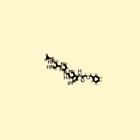 CC(C)n1cc(NC(=O)COCc2ccccc2)c2cnc(Nc3ccnc(/C(C=N)=C/NSC4CC4)n3)cc21